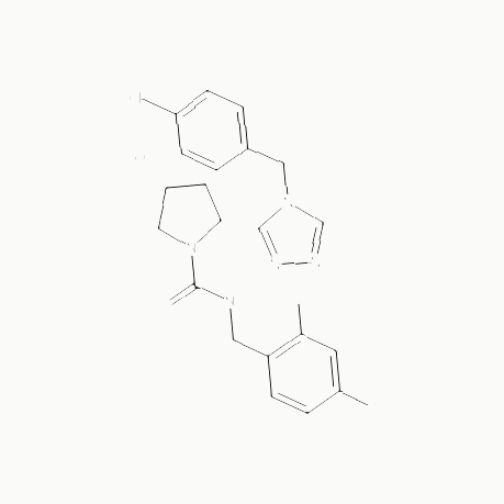 O=C(NCc1ccc(Cl)cc1Cl)N1C[C@H](O)C[C@@H]1c1nncn1Cc1ccc(Cl)cc1